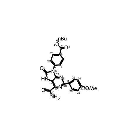 CCCCOC(=O)c1ccc(-n2c(=O)[nH]c3c(C(N)=O)nc(-c4ccc(OC)cc4)nc32)cc1